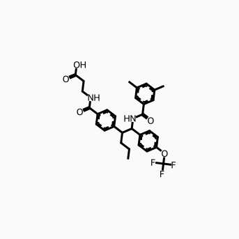 CCCC(c1ccc(C(=O)NCCC(=O)O)cc1)C(NC(=O)c1cc(C)cc(C)c1)c1ccc(OC(F)(F)F)cc1